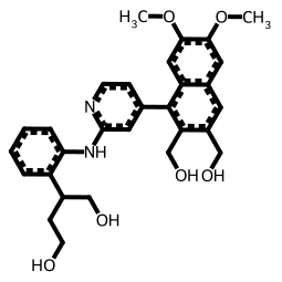 COc1cc2cc(CO)c(CO)c(-c3ccnc(Nc4ccccc4C(CO)CCO)c3)c2cc1OC